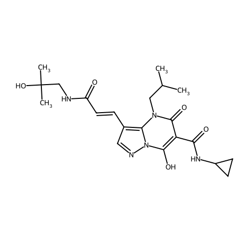 CC(C)Cn1c(=O)c(C(=O)NC2CC2)c(O)n2ncc(C=CC(=O)NCC(C)(C)O)c12